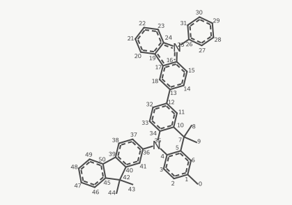 Cc1ccc2c(c1)C(C)(C)c1cc(-c3ccc4c(c3)c3ccccc3n4-c3ccccc3)ccc1N2c1ccc2c(c1)C(C)(C)c1ccccc1-2